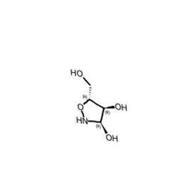 OC[C@H]1ON[C@H](O)[C@@H]1O